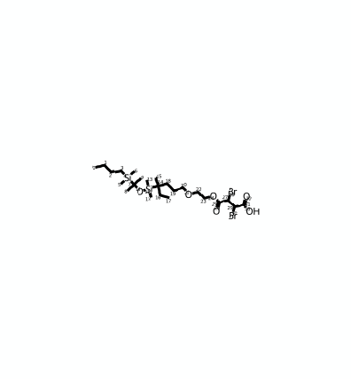 CCCC[Si](C)(C)C(C)(C)O[Si](C)(C)C(C)(CC)CCCOCCOC(=O)C(Br)C(Br)C(=O)O